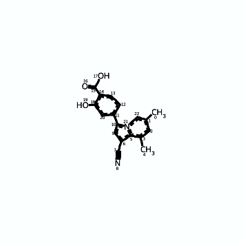 Cc1cc(C)c2c(C#N)cc(-c3ccc(C(=O)O)c(O)c3)n2c1